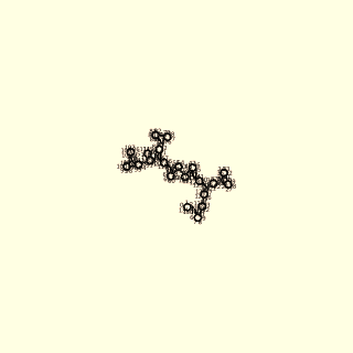 c1ccc(-n2c3ccccc3c3ccc(-c4ccc(N(c5ccc(-n6c7ccccc7c7ccccc76)cc5)c5ccc(-n6c7ccccc7c7c(-c8cccc9c8c8ccccc8n9-c8ccc(N(c9ccc(-n%10c%11ccccc%11c%11ccccc%11%10)cc9)c9ccc(-c%10ccc%11c%12ccccc%12n(-c%12ccccc%12)c%11c%10)c%10ccccc9%10)cc8)cccc76)cc5)cc4)cc32)cc1